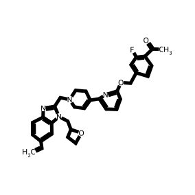 C=Cc1ccc2nc(CN3CC=C(c4cccc(OCc5ccc(C(C)=O)c(F)c5)n4)CC3)n(CC3CCO3)c2c1